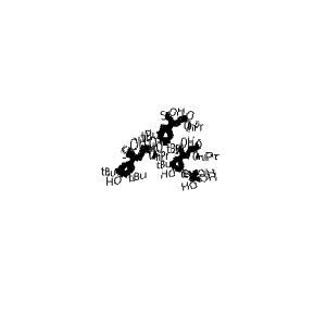 CCC(CO)(CO)CO.CCCOC(=O)CCC(C(O)=S)c1cc(C(C)(C)C)c(O)c(C(C)(C)C)c1.CCCOC(=O)CCC(C(O)=S)c1cc(C(C)(C)C)c(O)c(C(C)(C)C)c1.CCCOC(=O)CCC(C(O)=S)c1cc(C(C)(C)C)c(O)c(C(C)(C)C)c1